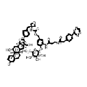 C[C@]12C=CC(=O)C=C1CC[C@@H]1[C@@H]2[C@@H](O)C[C@@]2(C)[C@H]1C[C@H]1O[C@@H](c3ccc(CC4(NC(=O)OCc5ccc(O[C@@H]6O[C@H](C(=O)O)[C@@H](O)[C@H](O)[C@H]6O)c(NC(=O)CCNC(=O)Cc6ccc(-c7nncnn7)cc6)c5)COC4)cc3)O[C@]12C(=O)CO